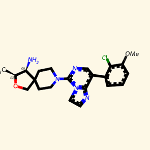 COc1cccc(-c2cnc(N3CCC4(CC3)CO[C@@H](C)[C@H]4N)n3ccnc23)c1Cl